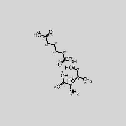 CC(O)CO.NCC(=O)O.O=C(O)CCCCC(=O)O